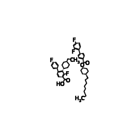 CCCCCCCC[C@H]1CC[C@H](OC(=O)c2ccc(-c3ccc(F)cc3F)cc2)CC1.CC[C@H]1CC[C@H](c2c(-c3ccc(F)cc3)ccc(C(=O)O)c2F)CC1